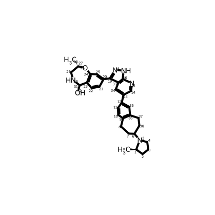 C[C@@H]1CCCN1C1CCc2ccc(-c3cnc4[nH]nc(-c5ccc6c(c5)O[C@@H](C)CNC6O)c4c3)cc2CC1